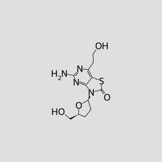 Nc1nc(CCO)c2sc(=O)n([C@H]3CC[C@@H](CO)O3)c2n1